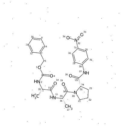 C[C@H](NC(=O)OCc1ccccc1)C(=O)N[C@@H](C)C(=O)N1CCC[C@H]1C(=O)Nc1ccc([N+](=O)[O-])cc1